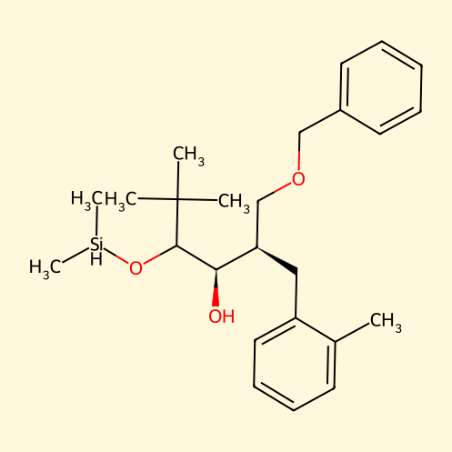 Cc1ccccc1C[C@H](COCc1ccccc1)[C@@H](O)C(O[SiH](C)C)C(C)(C)C